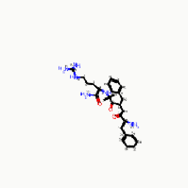 CC(C)(NC(CCCNC(=N)N)C(N)=O)C(=O)C(CC(=O)C(N)Cc1ccccc1)Cc1ccccc1